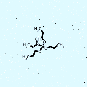 CCCO[Si](OCCC)(OCCC)N(C)CC